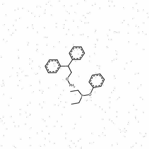 CCP(CC)Oc1ccccc1.POCC(c1ccccc1)c1ccccc1